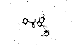 Cl.O=C(Nc1ccc(N[C@H]2CCNC2)c2cccnc12)c1ccccc1